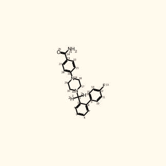 [2H]C([2H])(c1ccccc1-c1ccc(F)cc1)N1CCN(c2ccc(C(N)=O)cc2)CC1